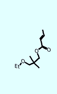 CC=CC(=O)OCC(C)(C)COCC